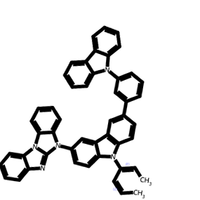 C/C=C\C(=C/C)n1c2ccc(-c3cccc(-n4c5ccccc5c5ccccc54)c3)cc2c2cc(-n3c4ccccc4n4c5ccccc5nc34)ccc21